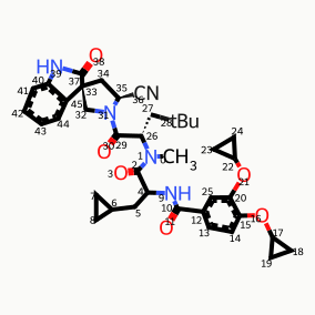 CN(C(=O)C(CC1CC1)NC(=O)c1ccc(OC2CC2)c(OC2CC2)c1)[C@@H](CC(C)(C)C)C(=O)N1C[C@]2(C[C@H]1C#N)C(=O)Nc1ccccc12